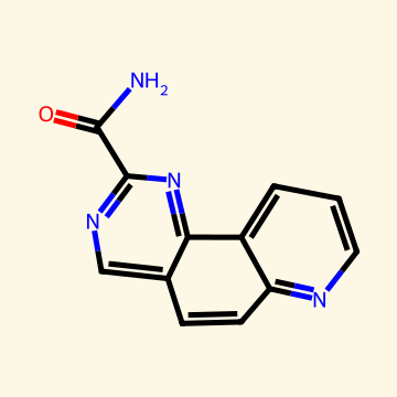 NC(=O)c1ncc2ccc3ncccc3c2n1